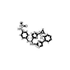 Cc1ccccc1-c1csc(N[C@@H](Cc2ccc(N[SH](=O)=O)cc2)c2csc(C3CC3)n2)n1